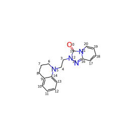 O=c1n(CCN2CCCc3ccccc32)nc2ccccn12